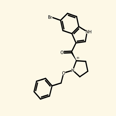 O=C(c1c[nH]c2ccc(Br)cc12)[C@H]1CCCN1OCc1ccccc1